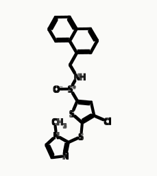 Cn1ccnc1Sc1sc([S+]([O-])NCc2cccc3ccccc23)cc1Cl